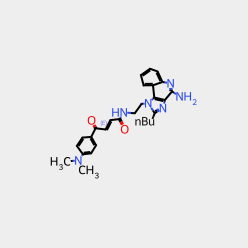 CCCCc1nc2c(N)nc3ccccc3c2n1CCNC(=O)/C=C/C(=O)c1ccc(N(C)C)cc1